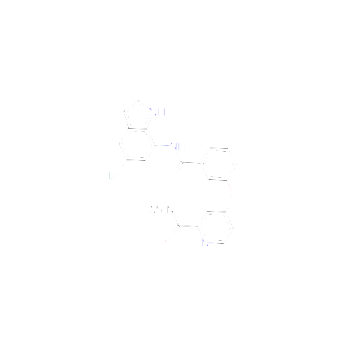 CNC(=O)c1cc(Oc2cccc(C(=O)Nc3cc(Br)cc4cc[nH]c34)c2)ccn1